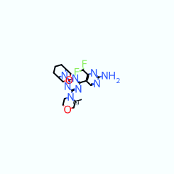 C[C@H]1COCCN1c1nc(-c2cnc(N)nc2C(F)F)nc(N2C3CCCC2COC3)n1